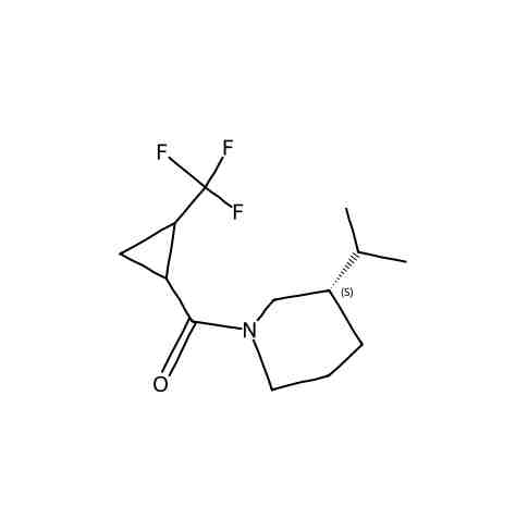 CC(C)[C@@H]1CCCN(C(=O)C2CC2C(F)(F)F)C1